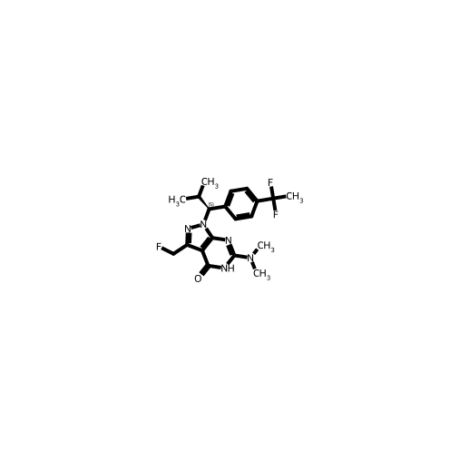 CC(C)[C@@H](c1ccc(C(C)(F)F)cc1)n1nc(CF)c2c(=O)[nH]c(N(C)C)nc21